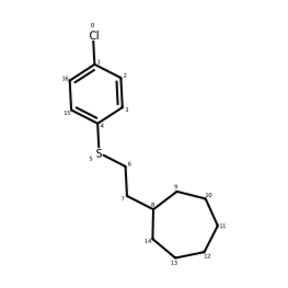 Clc1ccc(SCCC2CCCCCC2)cc1